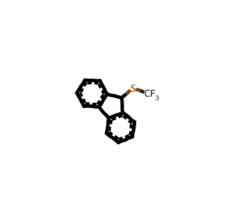 FC(F)(F)SC1c2ccccc2-c2ccccc21